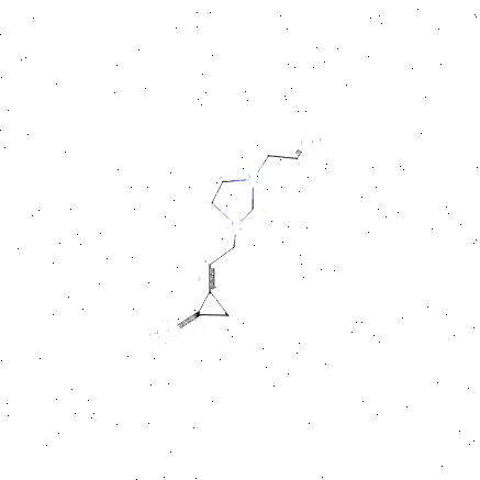 C=CCN1CCN(C/C=C2\CC2=C)C1